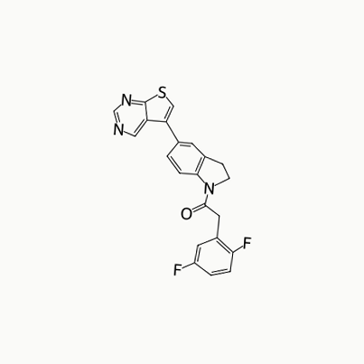 O=C(Cc1cc(F)ccc1F)N1CCc2cc(-c3csc4ncncc34)ccc21